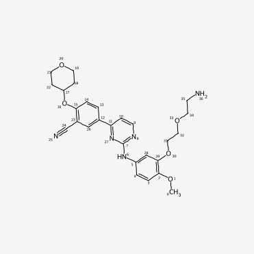 COc1ccc(Nc2nccc(-c3ccc(OC4CCOCC4)c(C#N)c3)n2)cc1OCCOCCN